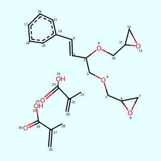 C(=CC(COCC1CO1)OCC1CO1)c1ccccc1.C=C(C)C(=O)O.C=C(C)C(=O)O